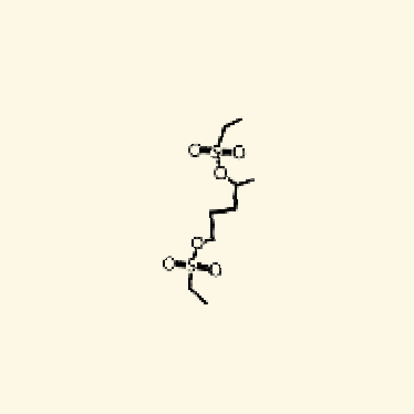 CCS(=O)(=O)OCCCC(C)OS(=O)(=O)CC